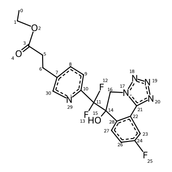 CCOC(=O)CCc1ccc(C(F)(F)C2(O)Cn3nnnc3-c3cc(F)ccc32)nc1